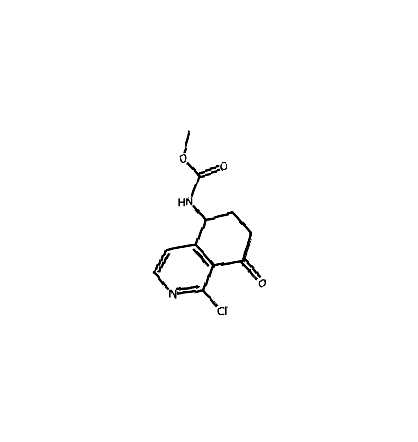 COC(=O)NC1CCC(=O)c2c1ccnc2Cl